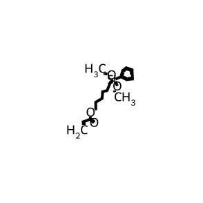 C=CC(=O)OCCCCCC[Si](OCC)(OCC)c1ccccc1